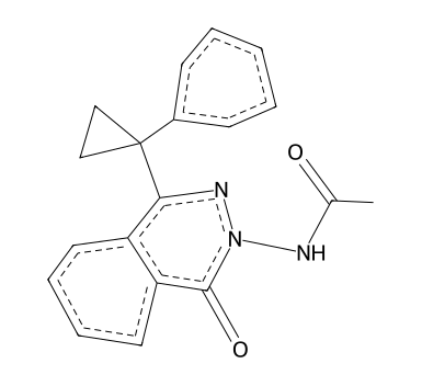 CC(=O)Nn1nc(C2(c3ccccc3)CC2)c2ccccc2c1=O